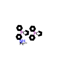 [NH]=[Fe+2].c1ccc(P(c2ccccc2)[c-]2cccc2)cc1.c1ccc(P(c2ccccc2)[c-]2cccc2)cc1